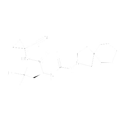 CC(F)(F)C[C@H](NC(=O)ON1CCC2(CCCCC2)C1)C(=O)NC1(C#N)CC1